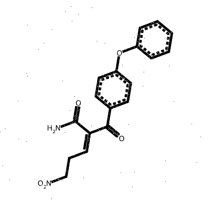 NC(=O)C(=CCC[N+](=O)[O-])C(=O)c1ccc(Oc2ccccc2)cc1